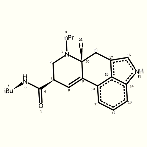 CCCN1C[C@H](C(=O)N[C@H](C)CC)C=C2c3cccc4[nH]cc(c34)C[C@H]21